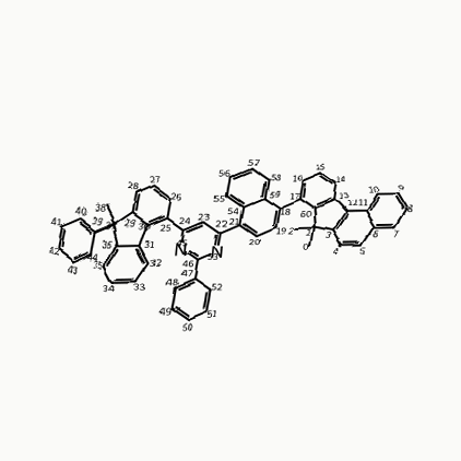 CC1(C)c2ccc3ccccc3c2-c2cccc(-c3ccc(-c4cc(-c5cccc6c5-c5ccccc5C6(C)c5ccccc5)nc(-c5ccccc5)n4)c4ccccc34)c21